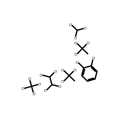 CC(Cl)(Cl)Cl.CC(Cl)(Cl)Cl.ClC(Cl)(Cl)Cl.ClC(Cl)C(Cl)Cl.ClC(Cl)Cl.Clc1ccccc1Cl